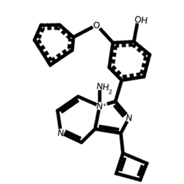 N[N+]12C=CN=CC1=C(C1=CC=C1)N=C2c1ccc(O)c(Oc2ccccc2)c1